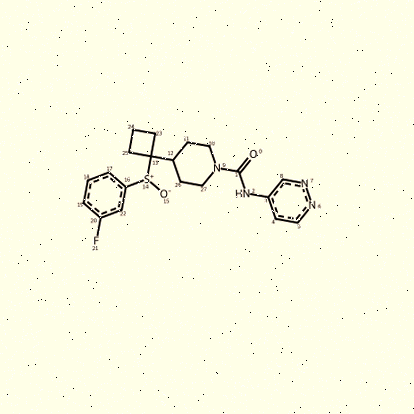 O=C(Nc1ccnnc1)N1CCC(C2([S+]([O-])c3cccc(F)c3)CCC2)CC1